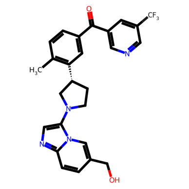 Cc1ccc(C(=O)c2cncc(C(F)(F)F)c2)cc1[C@@H]1CCN(c2cnc3ccc(CO)cn23)C1